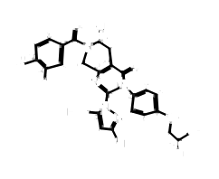 CC[C@H](O)COc1ccc(-n2c(-n3nc(C)cc3C)nc3c(c2=O)C[C@@H](C)N(C(=O)c2ccc(Br)c(C)c2)C3)cc1